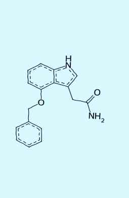 NC(=O)Cc1c[nH]c2cccc(OCc3ccccc3)c12